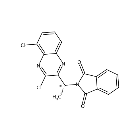 C[C@H](c1nc2cccc(Cl)c2nc1Cl)N1C(=O)c2ccccc2C1=O